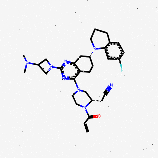 C=CC(=O)N1CCN(c2nc(N3CC(N(C)C)C3)nc3c2CC[C@@H](N2CCCc4ccc(F)cc42)C3)C[C@@H]1CC#N